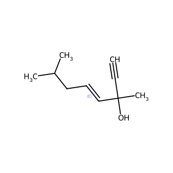 C#CC(C)(O)/C=C/CC(C)C